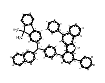 CC1(C)c2ccccc2-c2ccc(N(c3ccc(-c4ccc(-c5ccccc5)c5oc6c7ccccc7c(-c7ccccc7)cc6c45)cc3)c3ccc4ccccc4c3)cc21